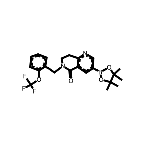 CC1(C)OB(c2cnc3c(c2)C(=O)N(Cc2ccccc2OC(F)(F)F)CC3)OC1(C)C